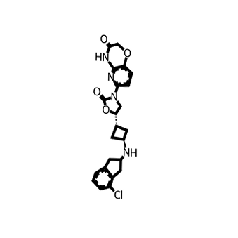 O=C1COc2ccc(N3CC([C@H]4C[C@H](NC5Cc6cccc(Cl)c6C5)C4)OC3=O)nc2N1